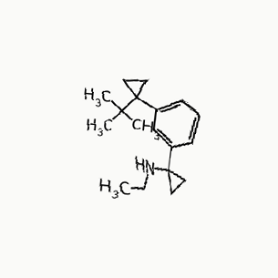 CCNC1(c2cccc(C3(C(C)(C)C)CC3)c2)CC1